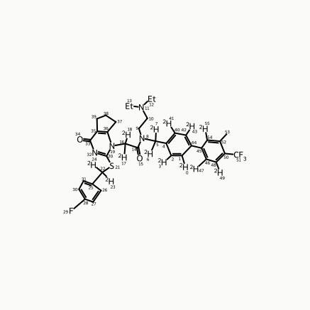 [2H]c1c([2H])c(C([2H])([2H])N(CCN(CC)CC)C(=O)C([2H])([2H])n2c(SC([2H])([2H])c3ccc(F)cc3)nc(=O)c3c2CCC3)c([2H])c([2H])c1-c1c([2H])c([2H])c(C(F)(F)F)c(C)c1[2H]